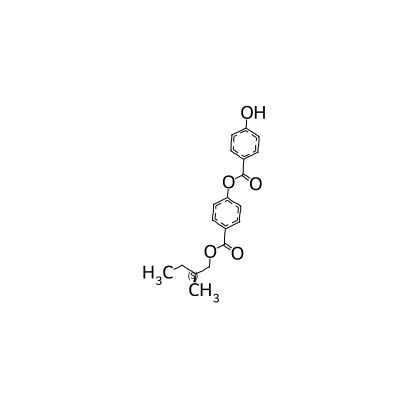 CC[C@H](C)COC(=O)c1ccc(OC(=O)c2ccc(O)cc2)cc1